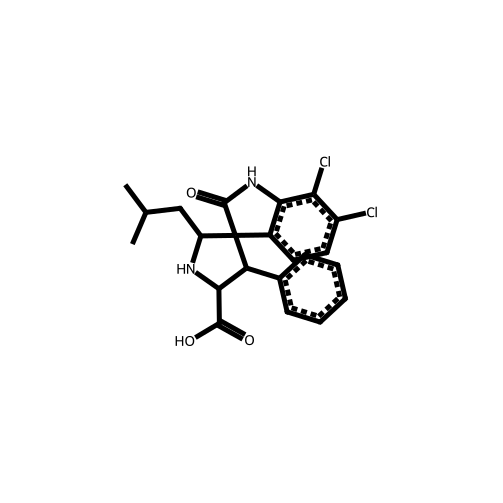 CC(C)CC1NC(C(=O)O)C(c2ccccc2)C12C(=O)Nc1c2ccc(Cl)c1Cl